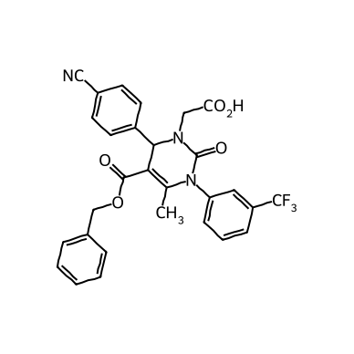 CC1=C(C(=O)OCc2ccccc2)C(c2ccc(C#N)cc2)N(CC(=O)O)C(=O)N1c1cccc(C(F)(F)F)c1